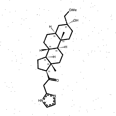 COC[C@@]1(O)CC[C@@]2(C)[C@@H](CC[C@@H]3[C@@H]2CC[C@]2(C)[C@@H](C(=O)Cc4ncc[nH]4)CC[C@@H]32)C1